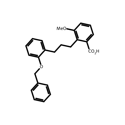 COc1cccc(C(=O)O)c1CCCc1ccccc1OCc1ccccc1